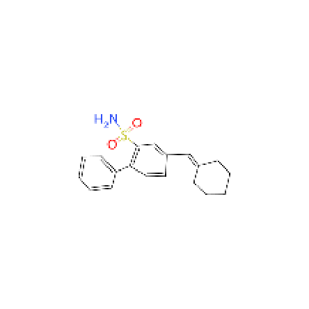 NS(=O)(=O)c1cc(C=C2CCCCC2)ccc1-c1ccccc1